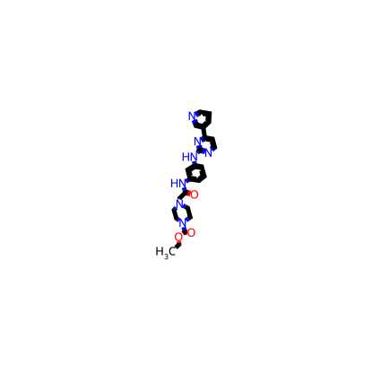 CCOC(=O)N1CCN(CC(=O)Nc2cccc(Nc3nccc(-c4cccnc4)n3)c2)CC1